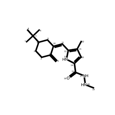 C=C1CCC(C(C)(C)C)C/C1=C/c1[nH]c(C(=O)NNC)cc1C